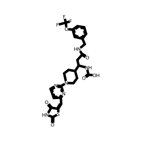 O=C(O)NC(CC(=O)NCc1cccc(OC(F)(F)F)c1)C1CCN(c2nccc(C=C3SC(=O)NC3=O)n2)CC1